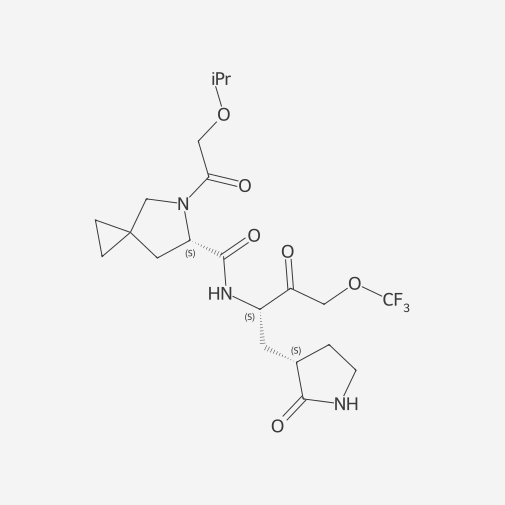 CC(C)OCC(=O)N1CC2(CC2)C[C@H]1C(=O)N[C@@H](C[C@@H]1CCNC1=O)C(=O)COC(F)(F)F